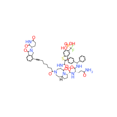 NC(=O)CC[C@H](NC(=O)[C@@H]1CC[C@@H]2CCN(C(=O)CCCCCC#Cc3cccc4c3CN(C3CCC(=O)NC3=O)C4=O)C[C@H](NC(=O)c3cc4cc(C(F)(F)P(=O)(O)O)ccc4s3)C(=O)N21)C(=O)NC(c1ccccc1)c1ccccc1